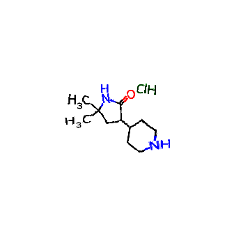 CC1(C)CC(C2CCNCC2)C(=O)N1.Cl